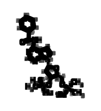 CC(C)(C)[Si](C)(C)OC[C@H]1O[C@@H](n2ccc3c(NC(=O)c4ccccc4)ncnc32)C[C@@H]1O[Si](C)(C)C(C)(C)C